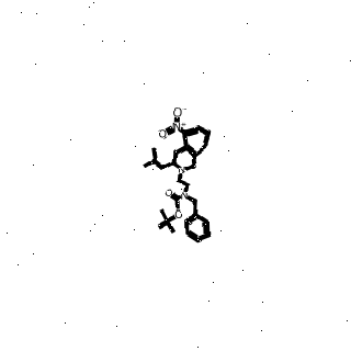 CC(C)CC1Cc2c(cccc2[N+](=O)[O-])CN1CCN(Cc1ccccc1)C(=O)OC(C)(C)C